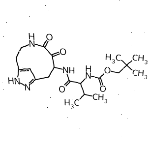 CC(C)C(NC(=O)OCC(C)(C)C)C(=O)NC1Cc2cc([nH]n2)CCNC(=O)C1=O